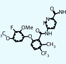 COc1c(Oc2ccc(C(F)(F)F)c(C)c2C(=O)Nc2ccc(C(N)=O)nn2)ccc(OC(F)(F)F)c1F